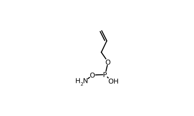 C=CCOP(O)ON